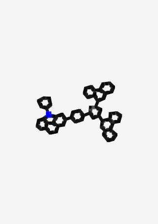 c1ccc(-n2c3cccc4ccc5cc(-c6ccc(-c7cc(-c8cc9ccccc9c9ccccc89)cc(-c8cc9ccccc9c9ccccc89)c7)cc6)cc2c5c43)cc1